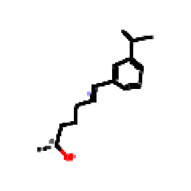 CC(C)c1cccc(/C=C/CCC[C@@H](C)O)c1